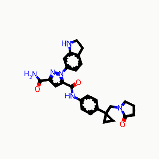 NC(=O)c1cc(C(=O)Nc2ccc(C3(CN4CCCC4=O)CC3)cc2)n(-c2ccc3c(c2)NCC3)n1